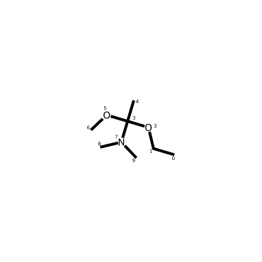 CCOC(C)(OC)N(C)C